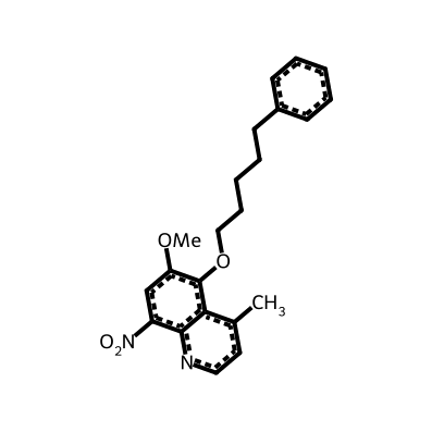 COc1cc([N+](=O)[O-])c2nccc(C)c2c1OCCCCCc1ccccc1